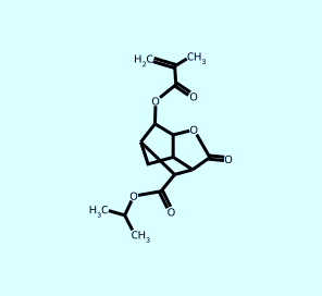 C=C(C)C(=O)OC1C2CC3C1OC(=O)C3C2C(=O)OC(C)C